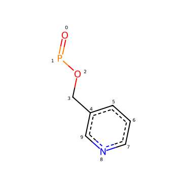 O=POCc1cccnc1